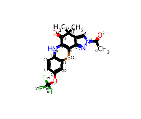 CC(=O)n1cc2c(n1)C1=C(Nc3ccc(OC(F)(F)F)cc3S1)C(=O)C2(C)C